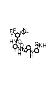 CNC(=O)c1cccc(Nc2cccc3c2ccn3C(=O)Nc2cc(NC(=O)c3cc(-n4cnc(C)c4)cc(C(F)(F)F)c3)ccc2C)c1